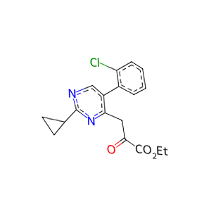 CCOC(=O)C(=O)Cc1nc(C2CC2)ncc1-c1ccccc1Cl